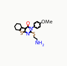 COc1ccc(-n2c(SCCN)nc3sc4c(c3c2=O)CCCC4)cc1